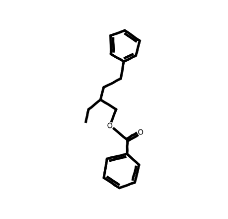 CCC(CCc1ccccc1)COC(=O)c1ccccc1